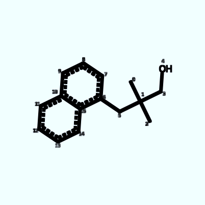 CC(C)(CO)Cc1cccc2ccccc12